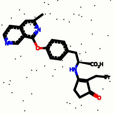 Cc1cc2ccncc2c(Oc2ccc(C[C@H](NC3=C(CC(C)C)C(=O)CC3)C(=O)O)cc2)n1